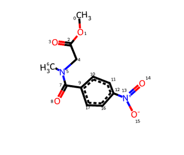 COC(=O)CN(C)C(=O)c1ccc([N+](=O)[O-])cc1